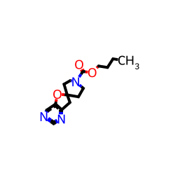 CCCCOC(=O)N1CCC2(CC1)Cc1ncncc1O2